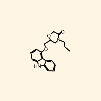 CCCN1CC(COc2cccc3[nH]c4ccccc4c23)OCC1=O